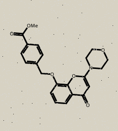 COC(=O)c1ccc(COc2cccc3c(=O)cc(N4CCOCC4)oc23)cc1